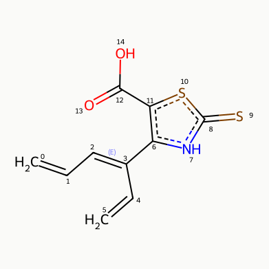 C=C/C=C(\C=C)c1[nH]c(=S)sc1C(=O)O